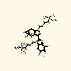 C[C@@]12Cc3c(c(-c4nc5c(F)c(F)c(N)cc5n4COCC[Si](C)(C)C)nn3COCC[Si](C)(C)C)C[C@@H]1C2